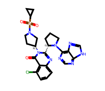 O=c1c2c(Cl)cccc2nc([C@@H]2CCCN2c2ncnc3[nH]cnc23)n1[C@@H]1CCN(S(=O)(=O)C2CC2)C1